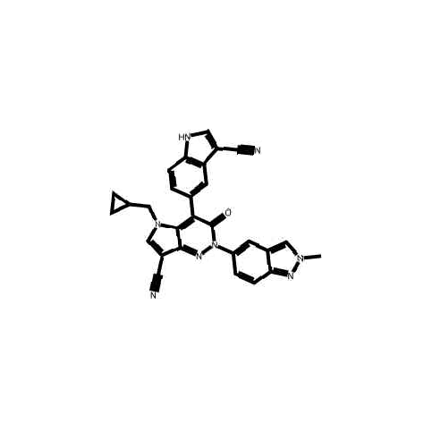 Cn1cc2cc(-n3nc4c(C#N)cn(CC5CC5)c4c(-c4ccc5[nH]cc(C#N)c5c4)c3=O)ccc2n1